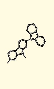 Cc1ccc2c3ccc(-n4c5ccccc5c5ccccc54)cc3n(C)c2c1